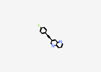 Fc1ccc(C#Cc2cnc3cccnc3c2)cc1